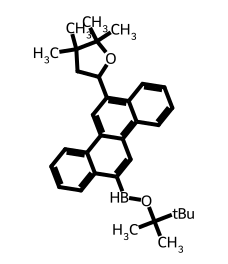 CC(C)(C)C(C)(C)OBc1cc2c3ccccc3c(C3CC(C)(C)C(C)(C)O3)cc2c2ccccc12